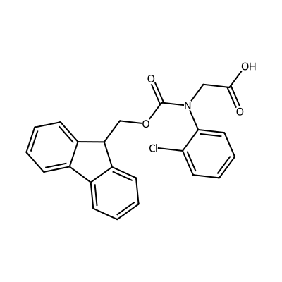 O=C(O)CN(C(=O)OCC1c2ccccc2-c2ccccc21)c1ccccc1Cl